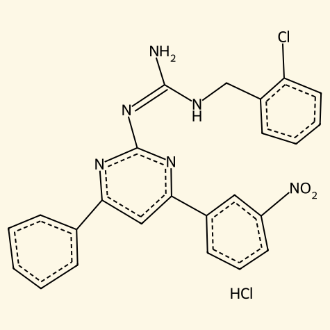 Cl.NC(=Nc1nc(-c2ccccc2)cc(-c2cccc([N+](=O)[O-])c2)n1)NCc1ccccc1Cl